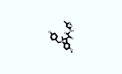 COc1ccc2c(c1)c(C(=O)C(=O)Nc1cc(C)ns1)c(C)n2Cc1ccc(Cl)cc1